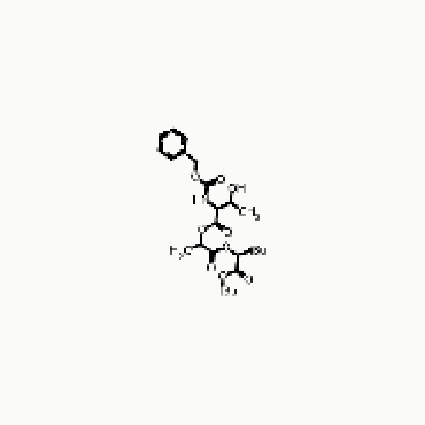 CCC(C)C(OC(=O)C(C)OC(=O)C(NC(=O)OCc1ccccc1)C(C)O)C(=O)OC(C)(C)C